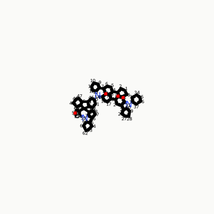 c1ccc(-c2ccc(-c3ccccc3N(c3ccc(-c4ccc5c(c4)c4ccccc4n5-c4ccccc4)cc3)c3ccc4c(c3)-c3ccccc3C43c4ccccc4-n4c5ccccc5c5cccc3c54)cc2)cc1